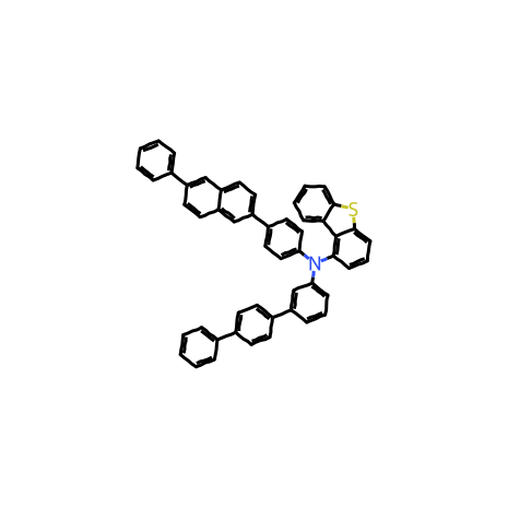 c1ccc(-c2ccc(-c3cccc(N(c4ccc(-c5ccc6cc(-c7ccccc7)ccc6c5)cc4)c4cccc5sc6ccccc6c45)c3)cc2)cc1